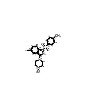 CCN1CCN(c2nn(S(=O)(=O)c3ccc(C)cc3)c3ccc(I)cc23)CC1